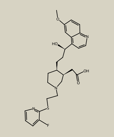 COc1ccc2nccc([C@H](O)CC[C@@H]3CCN(CCSc4ncccc4F)C[C@@H]3CC(=O)O)c2c1